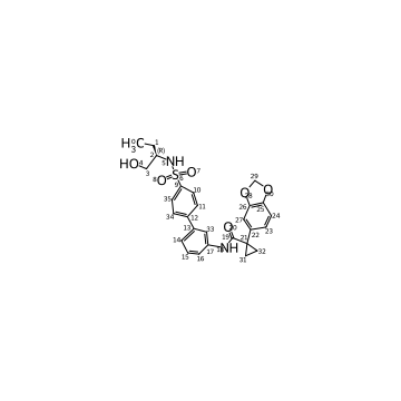 CC[C@H](CO)NS(=O)(=O)c1ccc(-c2cccc(NC(=O)C3(c4ccc5c(c4)OCO5)CC3)c2)cc1